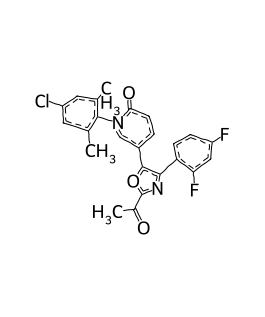 CC(=O)c1nc(-c2ccc(F)cc2F)c(-c2ccc(=O)n(-c3c(C)cc(Cl)cc3C)c2)o1